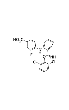 N=C(Oc1c(Cl)cccc1Cl)c1ccccc1Nc1ccc(C(=O)O)cc1F